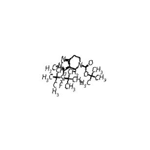 Cn1nc2c(c1[Si](F)(C(C)(C)C)C(C)(C)C)CN(C(=O)OC(C)(C)C)CC2